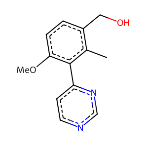 COc1ccc(CO)c(C)c1-c1ccncn1